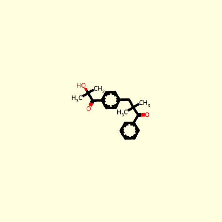 CC(C)(O)C(=O)c1ccc(CC(C)(C)C(=O)c2ccccc2)cc1